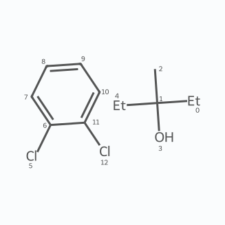 CCC(C)(O)CC.Clc1ccccc1Cl